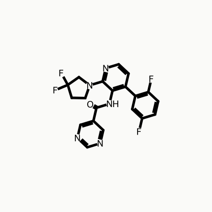 O=C(Nc1c(-c2cc(F)ccc2F)ccnc1N1CCC(F)(F)C1)c1cncnc1